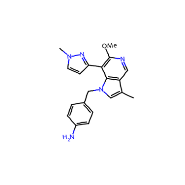 COc1ncc2c(C)cn(Cc3ccc(N)cc3)c2c1-c1ccn(C)n1